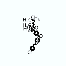 CC(C)OCCC(C(=O)Nc1ccc(C(=O)N2CCN(CCc3ccc(Cl)cc3)CC2)cc1)N(C)C